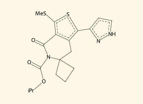 CSc1sc(-c2cc[nH]n2)c2c1C(=O)N(C(=O)OC(C)C)C1(CCC1)C2